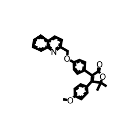 COc1ccc(C2=C(c3ccc(OCc4ccc5ccccc5n4)cc3)C(=O)OC2(C)C)cc1